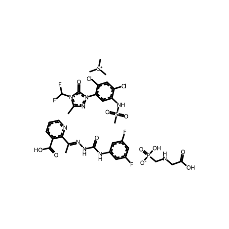 C/C(=N\NC(=O)Nc1cc(F)cc(F)c1)c1ncccc1C(=O)O.C[S+](C)C.Cc1nn(-c2cc(NS(C)(=O)=O)c(Cl)cc2Cl)c(=O)n1C(F)F.O=C(O)CNCP(=O)([O-])O